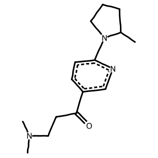 CC1CCCN1c1ccc(C(=O)CCN(C)C)cn1